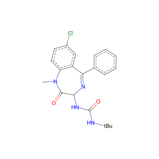 CN1C(=O)C(NC(=O)NC(C)(C)C)N=C(c2ccccc2)c2cc(Cl)ccc21